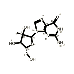 C[C@]1(O)C(O)[C@@H](CO)OC1n1cnc2c(=O)[nH]c(N)nc21